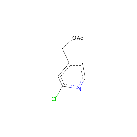 CC(=O)OCc1ccnc(Cl)c1